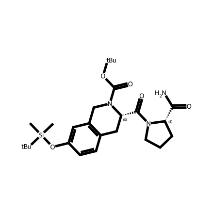 CC(C)(C)OC(=O)N1Cc2cc(O[Si](C)(C)C(C)(C)C)ccc2C[C@H]1C(=O)N1CCC[C@H]1C(N)=O